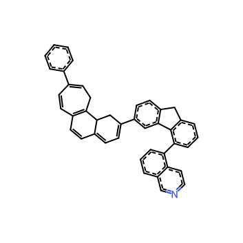 C1=CC2=C(CC=C1c1ccccc1)C1CC(c3ccc4c(c3)-c3c(cccc3-c3cccc5cnccc35)C4)=CC=C1C=C2